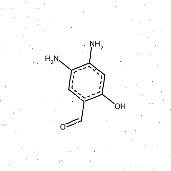 Nc1cc(O)c(C=O)cc1N